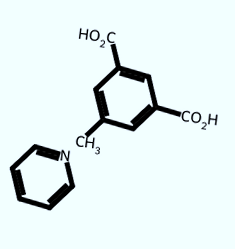 Cc1cc(C(=O)O)cc(C(=O)O)c1.c1ccncc1